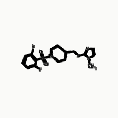 Cn1ccnc1SCC1CCN(S(=O)(=O)c2c(F)cccc2F)CC1